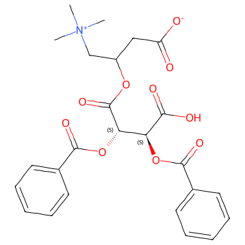 C[N+](C)(C)CC(CC(=O)[O-])OC(=O)[C@@H](OC(=O)c1ccccc1)[C@H](OC(=O)c1ccccc1)C(=O)O